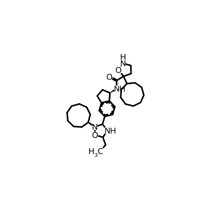 CCC1NC(c2ccc3c(c2)CC[C@H]3NC(=O)C2(C3CCCCCCCC3)CCNO2)N(C2CCCCCCCC2)O1